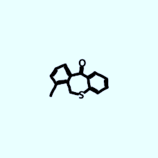 Cc1cccc2c1CSc1ccccc1C2=O